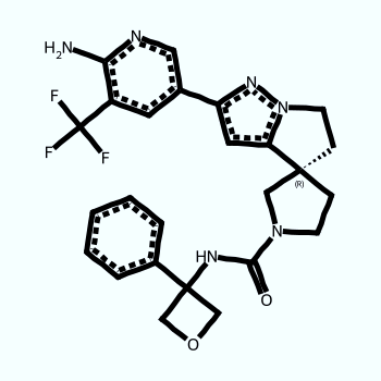 Nc1ncc(-c2cc3n(n2)CC[C@@]32CCN(C(=O)NC3(c4ccccc4)COC3)C2)cc1C(F)(F)F